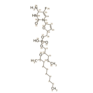 CCCCCCCCC(C)OC(COP(=O)(O)OCC1C=CC(N2C=C(F)C(N)NC2=O)O1)CSC